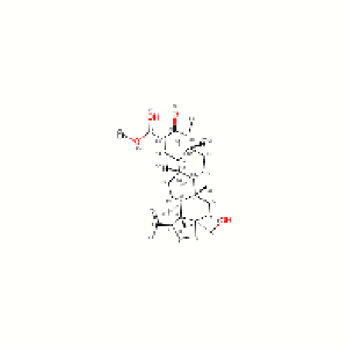 C=C(C)[C@@H]1CC[C@]2(CO)CC[C@]3(C)[C@H](CC[C@@H]4[C@@]5(C)C=C(C(O)OCC)C(=O)C(C)(C)[C@@H]5CC[C@]43C)[C@@H]12